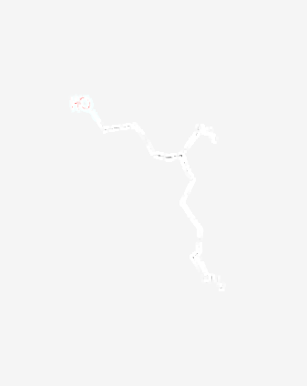 C=CCCCC(C)CCCO